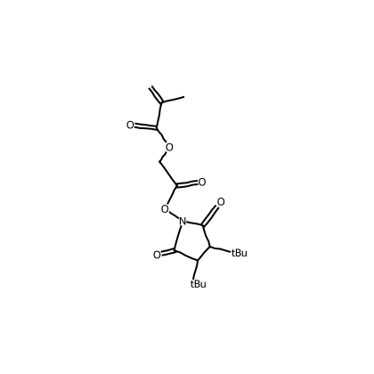 C=C(C)C(=O)OCC(=O)ON1C(=O)C(C(C)(C)C)C(C(C)(C)C)C1=O